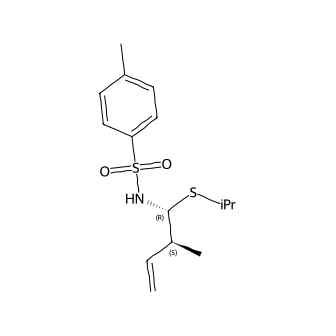 C=C[C@H](C)[C@H](NS(=O)(=O)c1ccc(C)cc1)SC(C)C